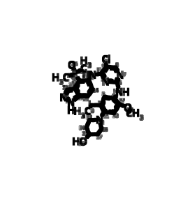 CCc1cc(Nc2ncc(Cl)c(Nc3ccc4[nH]ncc4c3P(C)(C)=O)n2)c(OC)cc1N1CCC(O)CC1